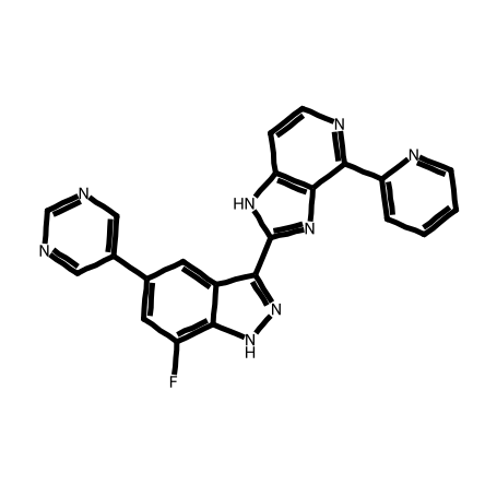 Fc1cc(-c2cncnc2)cc2c(-c3nc4c(-c5ccccn5)nccc4[nH]3)n[nH]c12